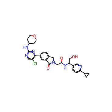 O=C(CN1Cc2ccc(-c3nc(NC4CCOCC4)ncc3Cl)cc2C1=O)NC(CO)c1ccc(C2CC2)nc1